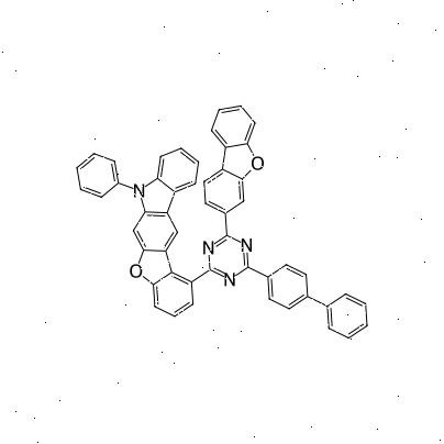 c1ccc(-c2ccc(-c3nc(-c4ccc5c(c4)oc4ccccc45)nc(-c4cccc5oc6cc7c(cc6c45)c4ccccc4n7-c4ccccc4)n3)cc2)cc1